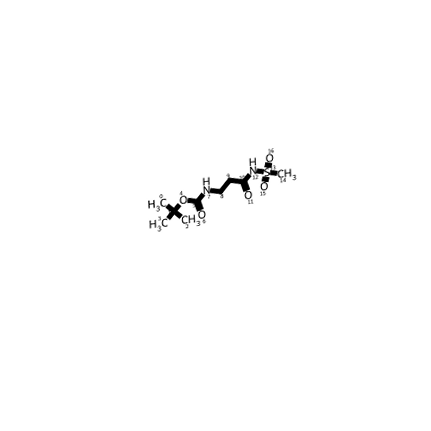 CC(C)(C)OC(=O)NCCC(=O)NS(C)(=O)=O